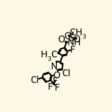 Cc1cc(C(=O)NS(C)(=O)=O)c(F)cc1-c1cnc(Oc2ccc(Cl)cc2C(F)(F)F)c(Cl)c1